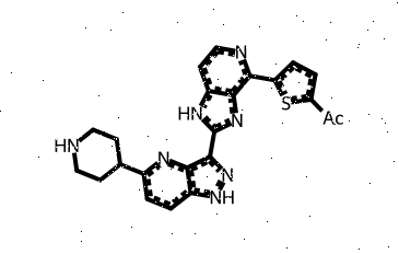 CC(=O)c1ccc(-c2nccc3[nH]c(-c4n[nH]c5ccc(C6CCNCC6)nc45)nc23)s1